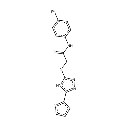 CC(C)c1ccc(NC(=O)CSc2nnc(-c3cccs3)[nH]2)cc1